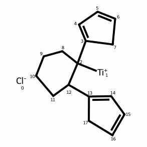 [Cl-].[Ti+][C]1(C2=CC=CC2)CCCCC1C1=CC=CC1